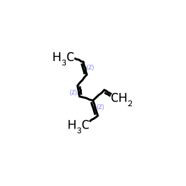 C=CC(/C=C\C=C/C)=C/C